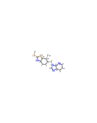 CSc1nc2ccc(Cn3cnc4cccnc43)c(F)c2s1